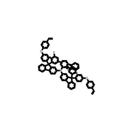 C=Cc1ccc(Oc2ccc(C3(c4cc(F)cc(F)c4F)c4ccccc4-c4ccc(N(c5ccc6c(c5)C(c5ccc(Oc7ccc(C=C)cc7)cc5)(c5cc(F)cc(F)c5F)c5ccccc5-6)c5cccc6c5oc5ccccc56)cc43)cc2)cc1